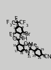 CCc1cc(C(F)(C(F)(F)F)C(F)(F)F)cc(Br)c1NC(=O)c1cccc(N(C)C(=O)c2ccc(C#N)cc2)c1OC